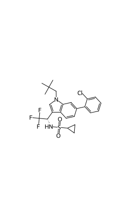 CC(C)(C)Cn1cc([C@H](NS(=O)(=O)C2CC2)C(F)(F)F)c2ccc(-c3ccccc3Cl)cc21